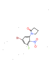 O=C1CCCN1c1cc(Br)cc(F)c1[N+](=O)[O-]